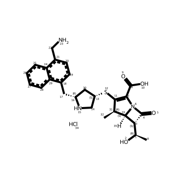 C[C@@H](O)[C@H]1C(=O)N2C(C(=O)O)=C(S[C@@H]3CN[C@H](Cc4ccc(CN)c5ccccc45)C3)[C@H](C)[C@H]12.Cl